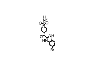 N=C(Nc1cc(Br)ccc1F)C(=O)C1CCN(S(N)(=O)=O)CC1